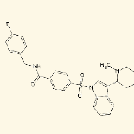 CN1CCCCC1c1cn(S(=O)(=O)c2ccc(C(=O)NCc3ccc(F)cc3)cc2)c2ccccc12